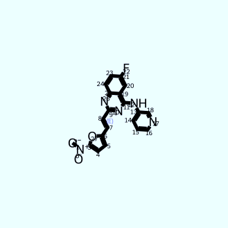 O=[N+]([O-])c1ccc(/C=C/c2nc(Nc3cccnc3)c3cc(F)ccc3n2)o1